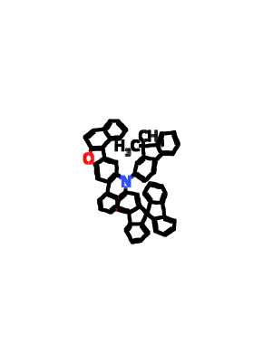 CC1(C)c2ccccc2-c2ccc(N(c3ccc4c(c3)C3(c5ccccc5-c5ccccc53)c3ccccc3-4)c3cc4c(cc3-c3ccccc3)oc3ccc5ccccc5c34)cc21